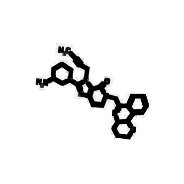 CC#CCn1c(N2CCCC(N)C2)nc2ccn(CC3=NC4CCCOC4c4ccccc43)c(=O)c21